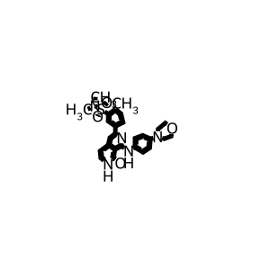 Cc1ccc(-c2cc3cc[nH]c(=O)c3c(Nc3ccc(N4CCOCC4)cc3)n2)cc1S(=O)(=O)N(C)C